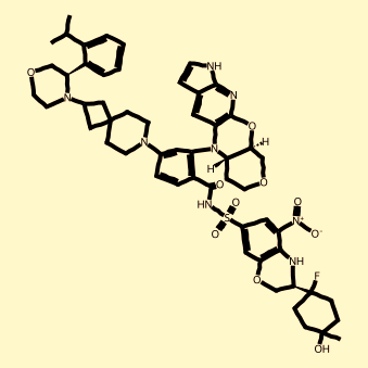 CC(C)c1ccccc1[C@@H]1COCCN1C1CC2(CCN(c3ccc(C(=O)NS(=O)(=O)c4cc5c(c([N+](=O)[O-])c4)N[C@@H](C4(F)CCC(C)(O)CC4)CO5)c(N4c5cc6cc[nH]c6nc5O[C@H]5COCC[C@@H]54)c3)CC2)C1